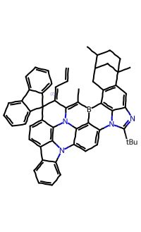 C=C/C=C1\C2=C(C)B3c4c(ccc5c4N2c2c(ccc4c6ccccc6n-5c24)C12c1ccccc1-c1ccccc12)-n1c(C(C)(C)C)nc2cc4c(c3c21)CC1CC4(C)CCC1C